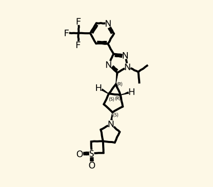 CC(C)n1nc(-c2cncc(C(F)(F)F)c2)nc1[C@H]1[C@@H]2C[C@@H](N3CCC4(C3)CS(=O)(=O)C4)C[C@@H]21